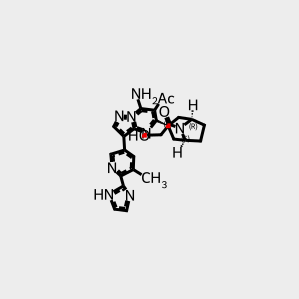 CC(=O)c1c([C@H]2C[C@H]3CC[C@@H](C2)N3C(=O)CO)nc2c(-c3cnc(-c4ncc[nH]4)c(C)c3)cnn2c1N